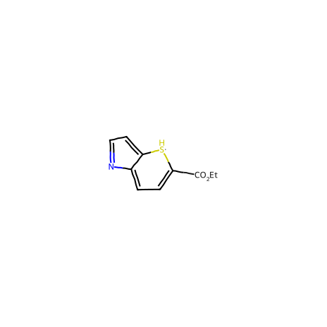 CCOC(=O)C1=CC=C2N=CC=C2[SH]1